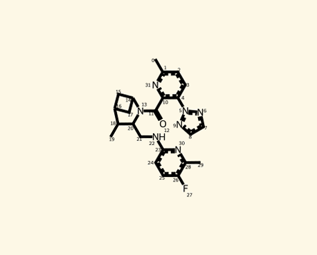 Cc1ccc(-n2nccn2)c(C(=O)N2C3CC(C3)C(C)C2CNc2ccc(F)c(C)n2)n1